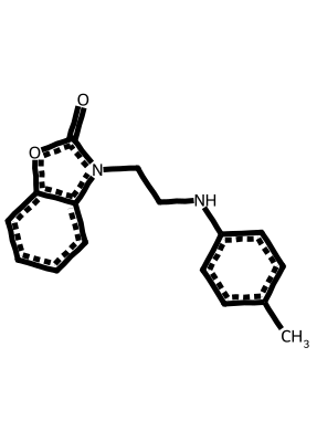 Cc1ccc(NCCn2c(=O)oc3ccccc32)cc1